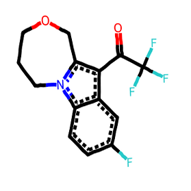 O=C(c1c2n(c3ccc(F)cc13)CCCOC2)C(F)(F)F